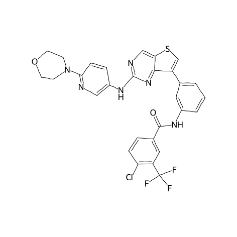 O=C(Nc1cccc(-c2csc3cnc(Nc4ccc(N5CCOCC5)nc4)nc23)c1)c1ccc(Cl)c(C(F)(F)F)c1